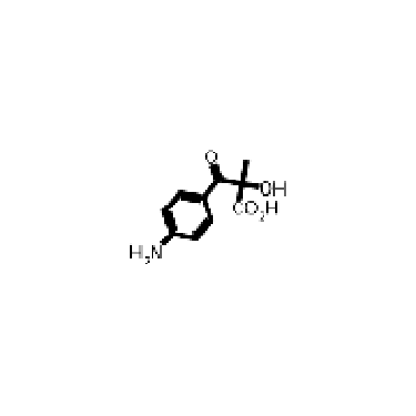 CC(O)(C(=O)O)C(=O)c1ccc(N)cc1